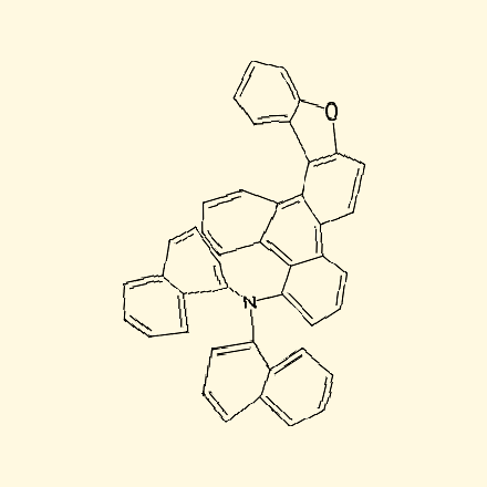 c1ccc2c(N(c3cccc4ccccc34)c3cccc4c5ccc6oc7ccccc7c6c5c5ccccc5c34)cccc2c1